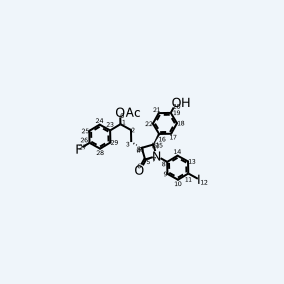 CC(=O)OC(CC[C@H]1C(=O)N(c2ccc(I)cc2)[C@@H]1c1ccc(O)cc1)c1ccc(F)cc1